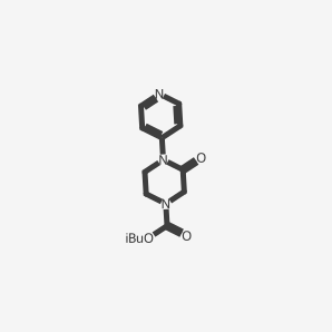 CC(C)COC(=O)N1CCN(c2ccncc2)C(=O)C1